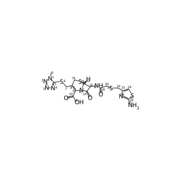 Cn1nnnc1SCC1=C(C(=O)O)N2C(=O)C(NC(=O)CSCc3csc(N)n3)[C@H]2SC1